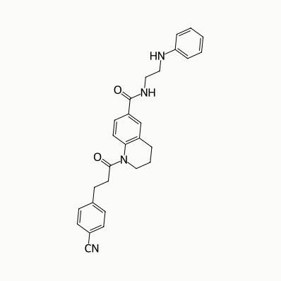 N#Cc1ccc(CCC(=O)N2CCCc3cc(C(=O)NCCNc4ccccc4)ccc32)cc1